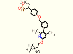 Cc1cc(OCCC(C)(C)N=O)nc(C)c1-c1cccc(COc2ccc(C(CC=O)C[SH](=O)=O)cc2)c1